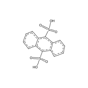 O=S(=O)(O)c1c2ccccc2c(S(=O)(=O)O)c2ccccc12